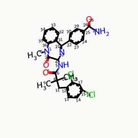 CN1C(=O)C(NC(=O)C(C)(C)Cc2ccc(Cl)cc2Cl)N=C(c2ccc(C(N)=O)cc2)c2ccccc21